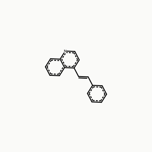 C(=Cc1ccnc2ccccc12)c1ccccc1